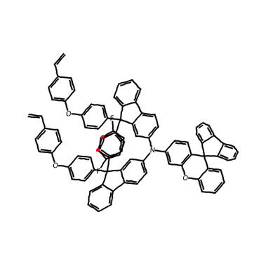 C=Cc1ccc(Oc2ccc(C3(c4ccc(F)cc4)c4ccccc4-c4ccc(N(c5ccc6c(c5)Oc5ccccc5C65c6ccccc6-c6ccccc65)c5ccc6c(c5)C(c5ccc(F)cc5)(c5ccc(Oc7ccc(C=C)cc7)cc5)c5ccccc5-6)cc43)cc2)cc1